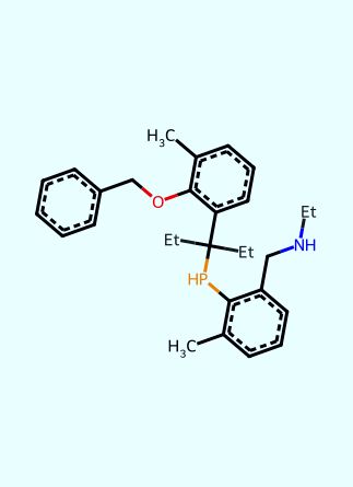 CCNCc1cccc(C)c1PC(CC)(CC)c1cccc(C)c1OCc1ccccc1